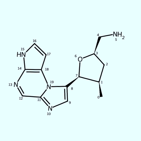 C[C@@H]1C[C@H](CN)O[C@@H]1c1cnc2cnc3[nH]ccc3n12